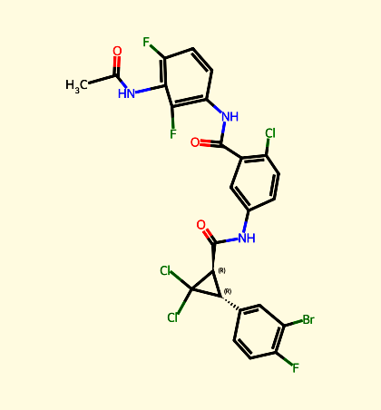 CC(=O)Nc1c(F)ccc(NC(=O)c2cc(NC(=O)[C@H]3[C@H](c4ccc(F)c(Br)c4)C3(Cl)Cl)ccc2Cl)c1F